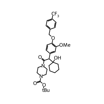 COc1cc(C(C(=O)N2CCN(C(=O)OC(C)(C)C)CC2)C2(O)CCCCC2)ccc1OCc1ccc(C(F)(F)F)cc1